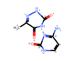 Cc1n[nH]c(=O)[nH]c1=O.Nc1cc[nH]c(=O)n1